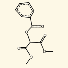 COC(=O)C(OC(=O)c1ccccc1)C(=O)OC